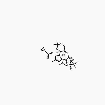 CC1=CC23C(=O)[C@@H](C=C4COC(C)(C)O[C@H]4[C@]2(O)[C@H]1OC(=O)C1CC1)[C@@H]1[C@@H](CC3C)C1(C)C